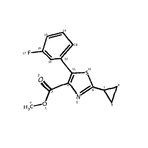 COC(=O)c1nc(C2CC2)sc1-c1cccc(F)c1